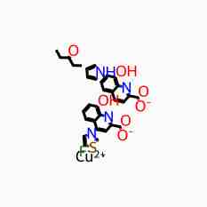 CCC(=O)CC.O=C([O-])c1ccc2cccc(O)c2n1.O=C([O-])c1ccc2cccc(O)c2n1.[Cu+2].[F].c1cc[nH]c1.c1cscn1